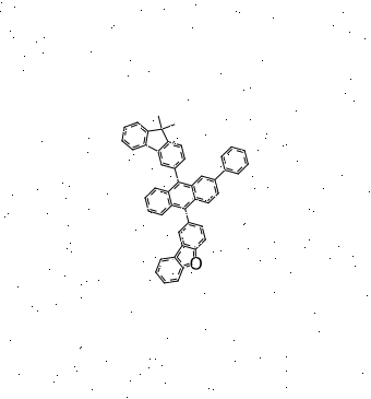 CC1(C)c2ccccc2-c2cc(-c3c4ccccc4c(-c4ccc5oc6ccccc6c5c4)c4ccc(-c5ccccc5)cc34)ccc21